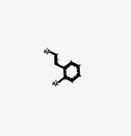 C/C=C/c1ccccc1C